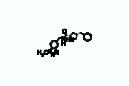 Cn1nnc2cc(CNC(=O)[C@@H]3C[C@H](Cc4ccccc4)CN3)ccc21